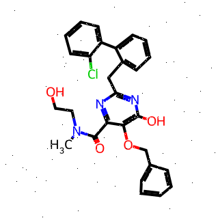 CN(CCO)C(=O)c1nc(Cc2ccccc2-c2ccccc2Cl)nc(O)c1OCc1ccccc1